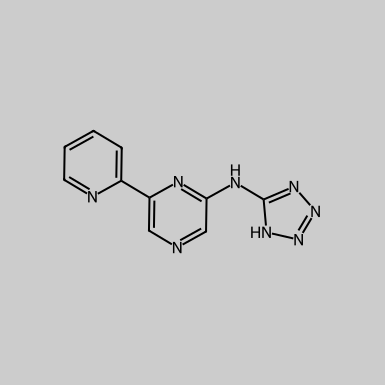 c1ccc(-c2cncc(Nc3nnn[nH]3)n2)nc1